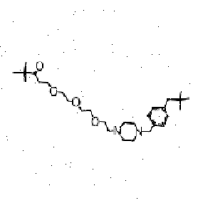 CC(C)(C)Cc1ccc(CN2CCN(CCOCCOCCOCCC(=O)C(C)(C)C)CC2)cc1